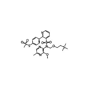 COc1nc(C)cnc1N(COCC[Si](C)(C)C)S(=O)(=O)c1cccnc1-c1ccc(SS(C)(=O)=O)cc1